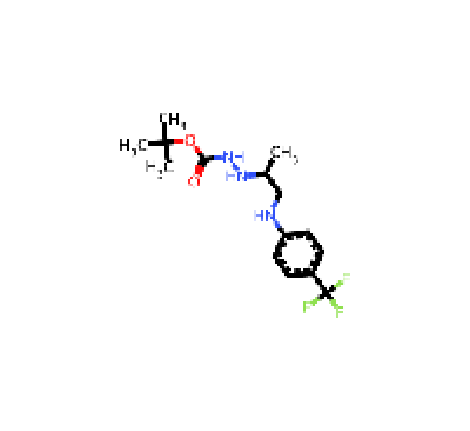 CC(CNc1ccc(C(F)(F)F)cc1)NNC(=O)OC(C)(C)C